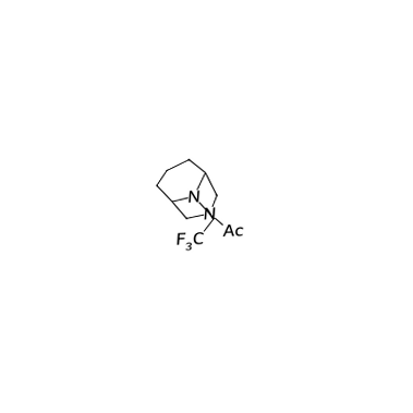 CC(=O)N1CC2CCCC(C1)N2CC(F)(F)F